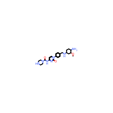 CO[C@H]1CC(NCc2ccc(-n3ccc(NC(=O)N4CCNCC4)nc3=O)cc2)CCC1N